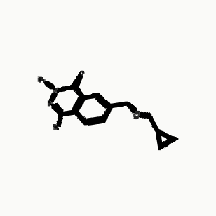 CC(C)n1nc(Br)c2ccc(COCC3CC3)cc2c1=O